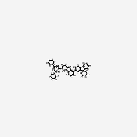 c1ccc(-c2nc(-c3ccccc3)nc(-c3ccc4sc5c(-c6ccc7c(c6)C6(CCCCC6)c6ccccc6-7)cccc5c4c3)n2)cc1